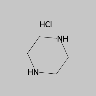 C1CNCCN1.Cl